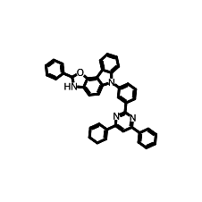 C1=CC(c2cc(-c3ccccc3)nc(-c3cccc(-n4c5ccccc5c5c6c(ccc54)NC(c4ccccc4)O6)c3)n2)=CCC1